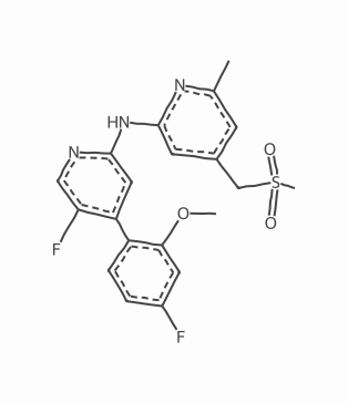 COc1cc(F)ccc1-c1cc(Nc2cc(CS(C)(=O)=O)cc(C)n2)ncc1F